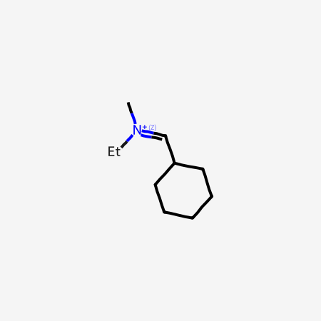 CC/[N+](C)=C\C1CCCCC1